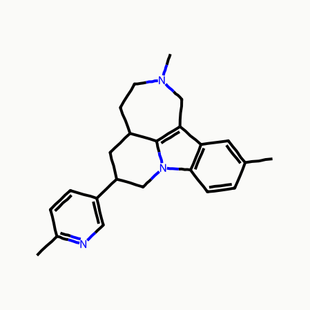 Cc1ccc2c(c1)c1c3n2CC(c2ccc(C)nc2)CC3CCN(C)C1